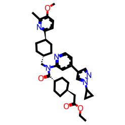 CCOC(=O)C[C@H]1CC[C@H](C(=O)N(C[C@H]2CC[C@H](c3ccc(OC)c(C)n3)CC2)c2cc(-c3cnn(C4CC4)c3)ccn2)CC1